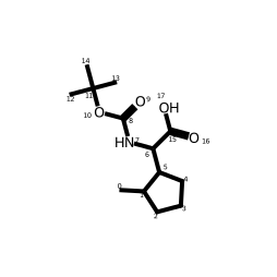 CC1CCCC1C(NC(=O)OC(C)(C)C)C(=O)O